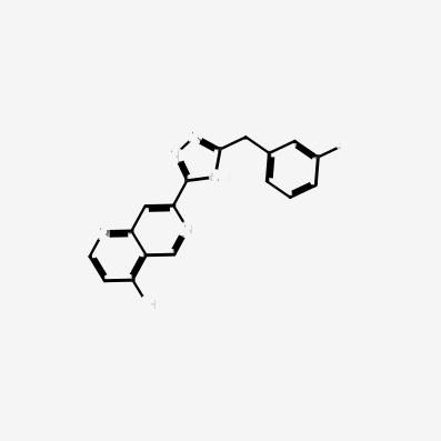 Oc1ccnc2cc(-c3nnc(Cc4cccc(Cl)c4)[nH]3)ncc12